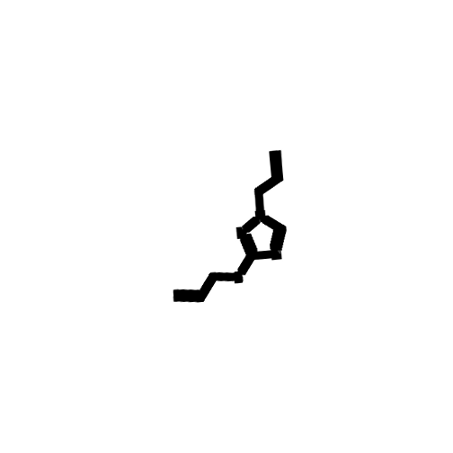 C=CCSc1ncn(CC=C)n1